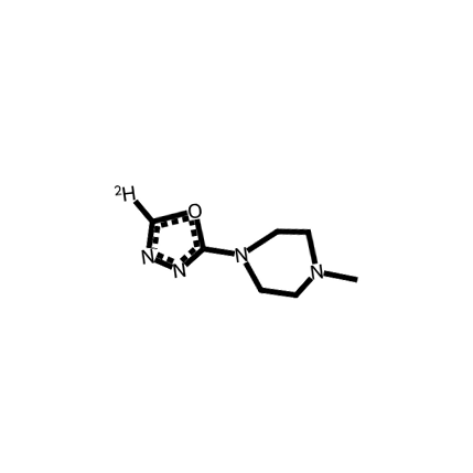 [2H]c1nnc(N2CCN(C)CC2)o1